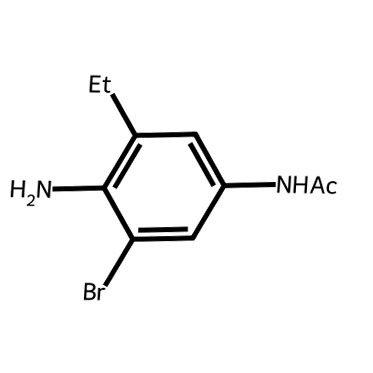 CCc1cc(NC(C)=O)cc(Br)c1N